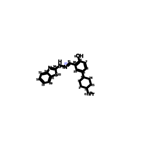 CCCC1CCC(c2ccc(O)c(/C=N/Nc3nc4ccccc4s3)c2)CC1